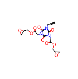 C#CCn1c(=O)n(CC(=O)OCC2CO2)c(=O)n(CC(=O)OCC2CO2)c1=O